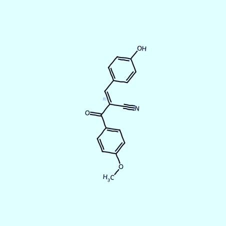 COc1ccc(C(=O)/C(C#N)=C/c2ccc(O)cc2)cc1